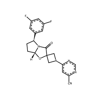 N#Cc1cc(N2CC3(C2)O[C@@H]2CC[C@@H](c4cc(F)cc(F)c4)N2C3=O)ncn1